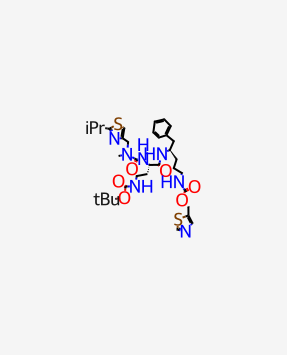 CC(C)c1nc(CN(C)C(=O)N[C@@H](CCNC(=O)OC(C)(C)C)C(=O)N[C@H](CCCNC(=O)OCc2cncs2)Cc2ccccc2)cs1